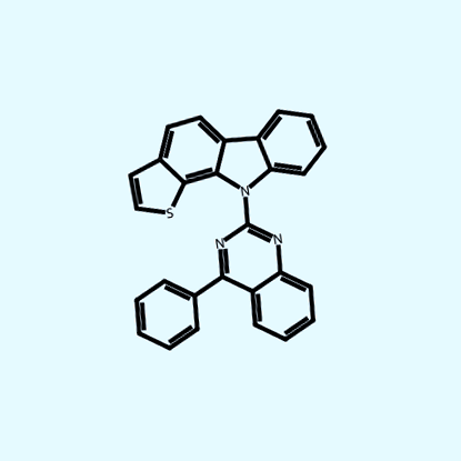 c1ccc(-c2nc(-n3c4ccccc4c4ccc5ccsc5c43)nc3ccccc23)cc1